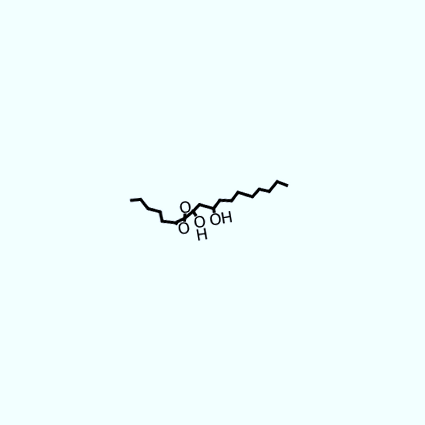 CCCCCCCCC(O)CC1(O)OC12OC2CCCCC